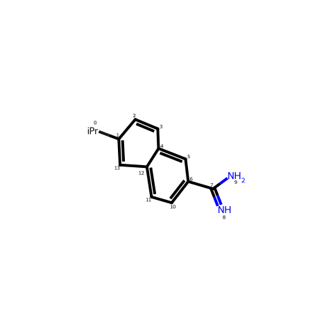 CC(C)c1ccc2cc(C(=N)N)ccc2c1